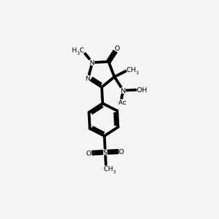 CC(=O)N(O)C1(C)C(=O)N(C)N=C1c1ccc(S(C)(=O)=O)cc1